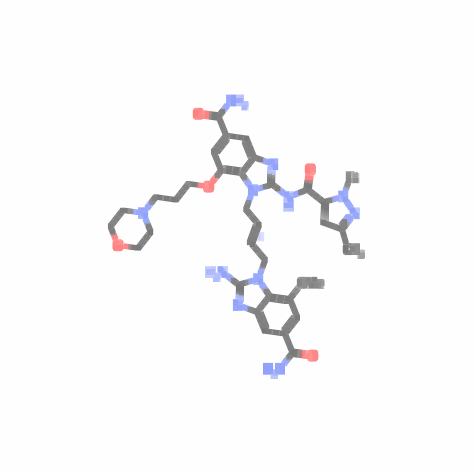 CCn1nc(C)cc1C(=O)Nc1nc2cc(C(N)=O)cc(OCCCN3CCOCC3)c2n1C/C=C/Cn1c(N)nc2cc(C(N)=O)cc(OC)c21